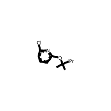 CC(C)C(C)(C)Oc1cccc(Cl)n1